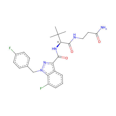 CC(C)(C)[C@H](NC(=O)c1nn(Cc2ccc(F)cc2)c2c(F)cccc12)C(=O)NCCC(N)=O